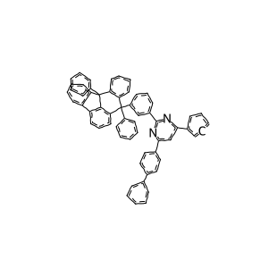 c1ccc(-c2ccc(-c3cc(-c4ccccc4)nc(-c4cccc(C5(c6ccccc6)c6ccccc6C6(c7ccccc7)c7ccccc7-c7cccc5c76)c4)n3)cc2)cc1